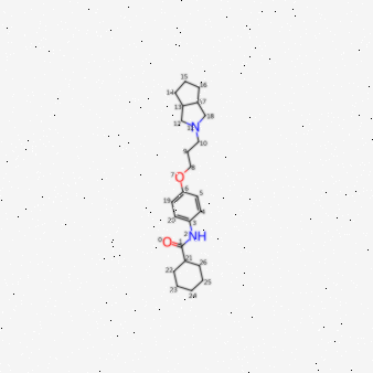 O=C(Nc1ccc(OCCCN2CC3CCCC3C2)cc1)C1CCCCC1